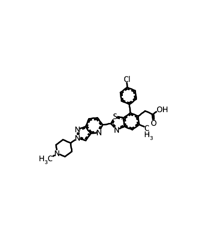 Cc1cc2nc(-c3ccc4nn(C5CCN(C)CC5)cc4n3)sc2c(-c2ccc(Cl)cc2)c1CC(=O)O